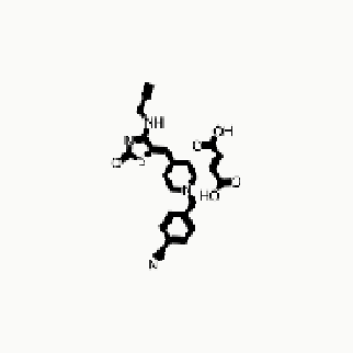 C#CCNC1=NC(=O)S/C1=C\C1CCN(Cc2ccc(C#N)cc2)CC1.O=C(O)/C=C/C(=O)O